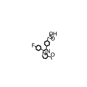 CC(=O)c1cccn2c(-c3ccc(F)cc3)c(-c3ccc(CS(=O)O)cc3)nc12